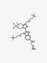 CC(C)(C)OCNc1ccc2c(c1)nc(-c1nn(COCC[Si](C)(C)C)c3c1CC1C(F)(F)C1(C)C3)n2COCC[Si](C)(C)C